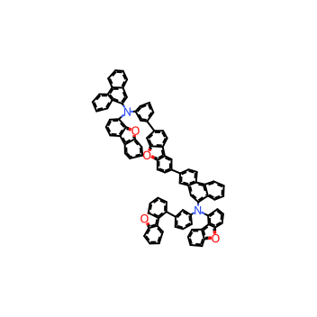 c1cc(-c2ccc3c(c2)oc2ccc(-c4ccc5c(c4)cc(N(c4cccc(-c6cccc7oc8ccccc8c67)c4)c4cccc6oc7ccccc7c46)c4ccccc45)cc23)cc(N(c2cc3ccccc3c3ccccc23)c2cccc3c2oc2ccccc23)c1